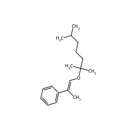 CC(=COC(C)(C)CCCC(C)C)c1ccccc1